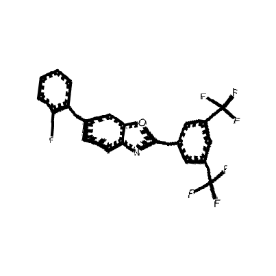 Fc1ccccc1-c1ccc2nc(-c3cc(C(F)(F)F)cc(C(F)(F)F)c3)oc2c1